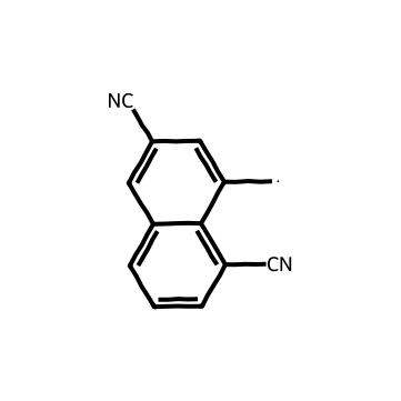 [CH2]c1cc(C#N)cc2cccc(C#N)c12